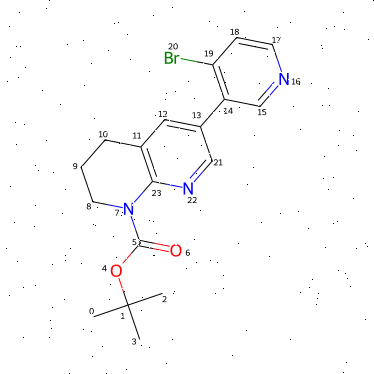 CC(C)(C)OC(=O)N1CCCc2cc(-c3cnccc3Br)cnc21